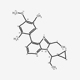 CCc1nc2c(-c3cc(C)c(OC)cc3C)ccnc2n1C(CC)C1CC1